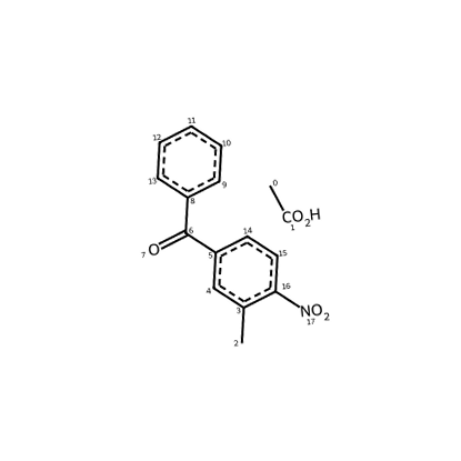 CC(=O)O.Cc1cc(C(=O)c2ccccc2)ccc1[N+](=O)[O-]